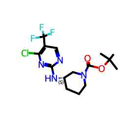 CC(C)(C)OC(=O)N1CCC[C@H](Nc2ncc(C(F)(F)F)c(Cl)n2)C1